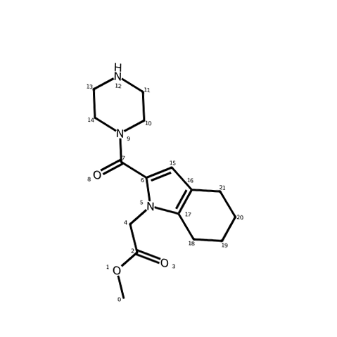 COC(=O)Cn1c(C(=O)N2CCNCC2)cc2c1CCCC2